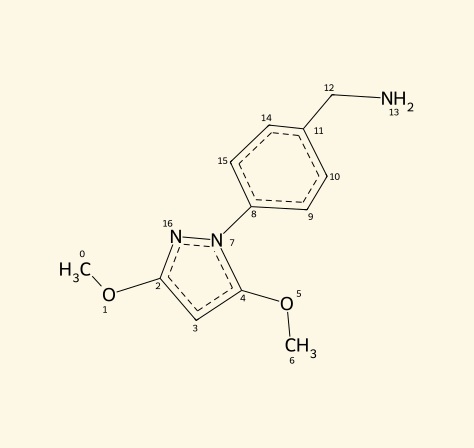 COc1cc(OC)n(-c2ccc(CN)cc2)n1